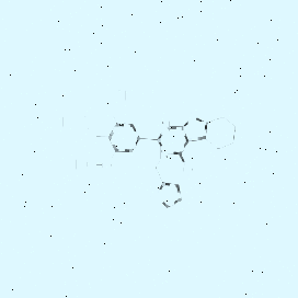 COc1cc(-c2nc3sc4c(c3c(=O)n2Cc2ccco2)CCCC4)cc(OC)c1OC